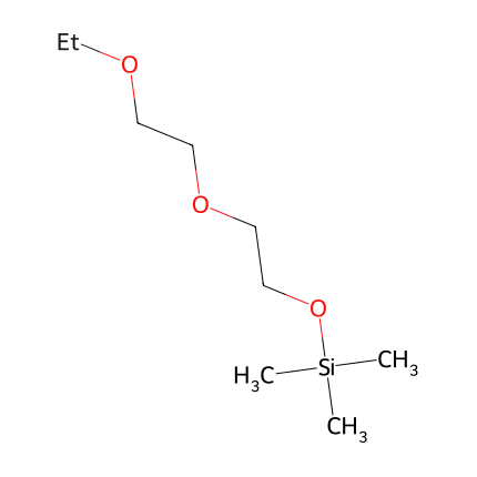 [CH2]COCCOCCO[Si](C)(C)C